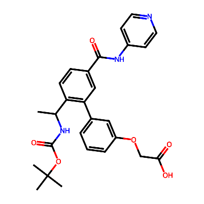 CC(NC(=O)OC(C)(C)C)c1ccc(C(=O)Nc2ccncc2)cc1-c1cccc(OCC(=O)O)c1